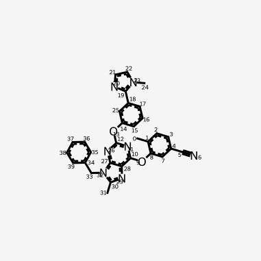 Cc1ccc(C#N)cc1Oc1nc(Oc2cccc(-c3nccn3C)c2)nc2c1nc(C)n2Cc1ccccc1